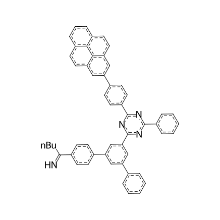 CCCCC(=N)c1ccc(-c2cc(-c3ccccc3)cc(-c3nc(-c4ccccc4)nc(-c4ccc(-c5cc6ccc7cccc8ccc(c5)c6c78)cc4)n3)c2)cc1